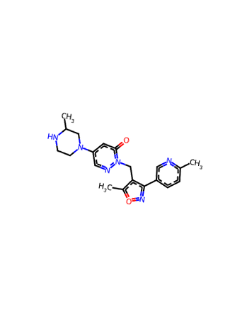 Cc1ccc(-c2noc(C)c2Cn2ncc(N3CCNC(C)C3)cc2=O)cn1